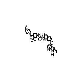 CCc1cc2c(Oc3ccc4c(c3)[C@H](C)N(C(=O)Nc3ccc(CN5CCN(CC)CC5)c(C(F)(F)F)c3)CC4)ccnc2[nH]1